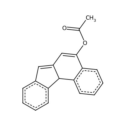 CC(=O)OC1=CC2=Cc3ccccc3C2c2ccccc21